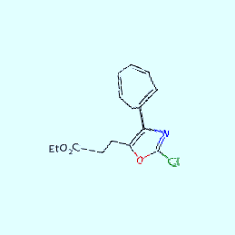 CCOC(=O)CCc1oc(Cl)nc1-c1ccccc1